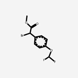 COC(=O)C(Br)c1ccc(OC(F)F)cc1